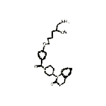 NCC(O)CCCCOc1ccc(C(=O)N2CCC(N3C(=O)CCc4ccccc43)CC2)cc1